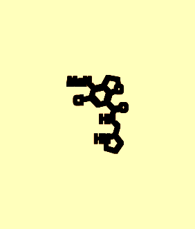 CNc1c(Cl)cc(C(=O)NCC2CCCN2)c2c1CCO2